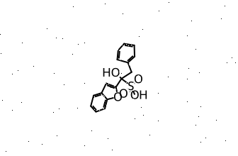 O=S(=O)(O)C(O)(Cc1ccccc1)c1cc2ccccc2o1